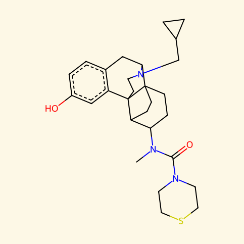 CN(C(=O)N1CCSCC1)C1CCC23CCC1C21CCN(CC2CC2)C3Cc2ccc(O)cc21